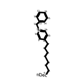 CCCCCCCCCCCCCCCCCc1cc[n+](Cc2ccccc2)cc1